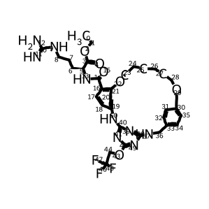 CCOC(=O)[C@H](CCCNC(=N)N)NC(=O)c1ccc2cc1OCCCCCCOc1ccc(cc1)CNc1nc(nc(OCC(F)(F)F)n1)N2